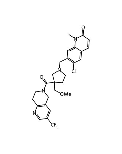 COCC1(C(=O)N2CCc3ncc(C(F)(F)F)cc3C2)CCN(Cc2cc3c(ccc(=O)n3C)cc2Cl)C1